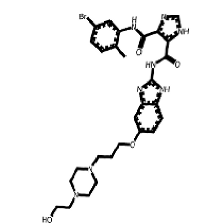 Cc1ccc(Br)cc1NC(=O)c1nc[nH]c1C(=O)Nc1nc2cc(OCCCN3CCN(CCO)CC3)ccc2[nH]1